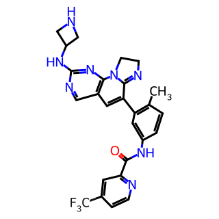 Cc1ccc(NC(=O)c2cc(C(F)(F)F)ccn2)cc1C1=Cc2cnc(NC3CNC3)nc2N2CCN=C12